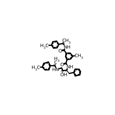 Cc1ccc([C@@H](C)NC[C@@H](O)[C@H](Cc2ccccc2)NC(=O)c2cc(C)cc(C(=O)N[C@H](C)c3ccc(C)cc3)c2)cc1